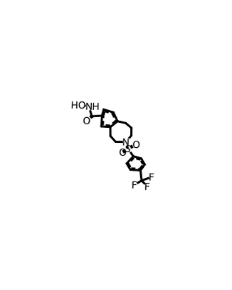 O=C(NO)c1ccc2c(c1)CCN(S(=O)(=O)c1ccc(C(F)(F)F)cc1)CCC2